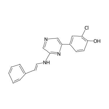 Oc1ccc(-c2cncc(NC=Cc3ccccc3)n2)cc1Cl